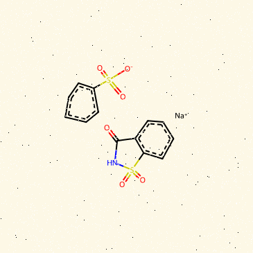 O=C1NS(=O)(=O)c2ccccc21.O=S(=O)([O-])c1ccccc1.[Na+]